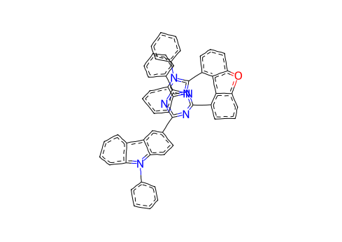 c1ccc(-c2nc(-c3ccc4c(c3)c3ccccc3n4-c3ccccc3)nc(-c3cccc4oc5cccc(-c6nc7ccccc7n6-c6ccccc6)c5c34)n2)cc1